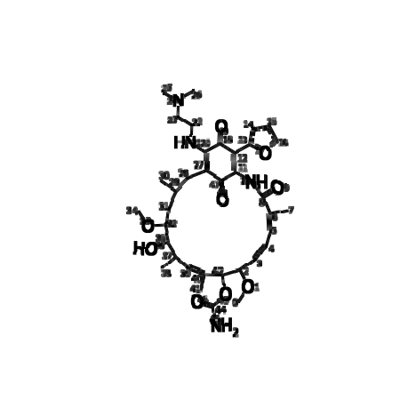 COC1C=CC=C(C)C(=O)NC2=C(c3ccco3)C(=O)C(NCCN(C)C)=C(CC(C)CC(OC)C(O)C(C)C=C(C)C1OC(N)=O)C2=O